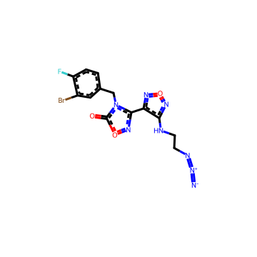 [N-]=[N+]=NCCNc1nonc1-c1noc(=O)n1Cc1ccc(F)c(Br)c1